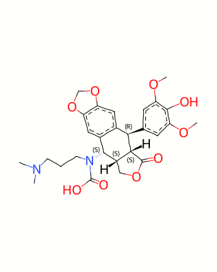 COc1cc([C@@H]2c3cc4c(cc3[C@@H](N(CCCN(C)C)C(=O)O)[C@H]3COC(=O)[C@@H]23)OCO4)cc(OC)c1O